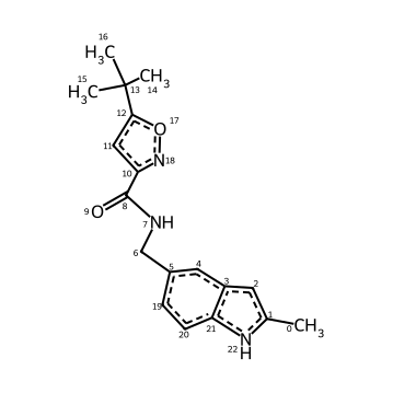 Cc1cc2cc(CNC(=O)c3cc(C(C)(C)C)on3)ccc2[nH]1